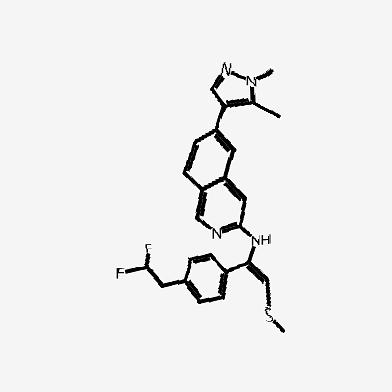 CS/C=C(/Nc1cc2cc(-c3cnn(C)c3C)ccc2cn1)c1ccc(CC(F)F)cc1